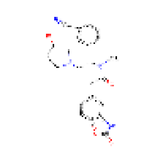 CN(C(=O)Cc1ccc2oc(=O)[nH]c2c1)[C@H](CN1CCC(O)C1)c1cccc(C#N)c1